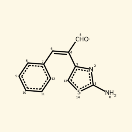 Nc1nc(/C([C]=O)=C\c2ccccc2)cs1